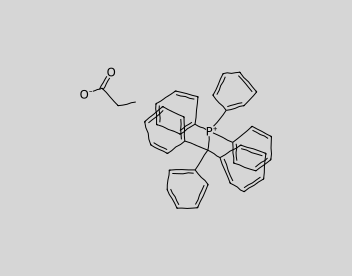 CCC(=O)[O-].c1ccc(C(c2ccccc2)(c2ccccc2)[P+](c2ccccc2)(c2ccccc2)c2ccccc2)cc1